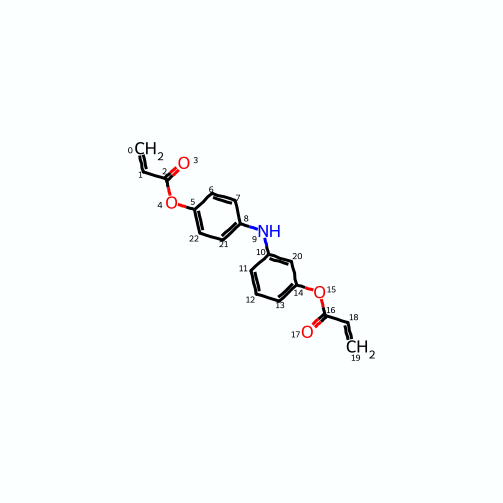 C=CC(=O)Oc1ccc(Nc2cccc(OC(=O)C=C)c2)cc1